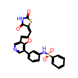 O=C1NC(=O)/C(=C\c2cc3cncc(-c4cccc(NS(=O)(=O)c5ccccc5)c4)c3o2)S1